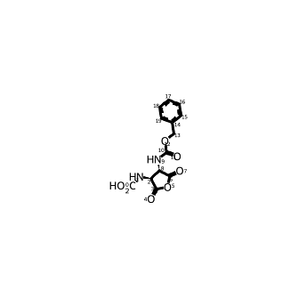 O=C(O)N[C@@H]1C(=O)OC(=O)[C@H]1NC(=O)OCc1ccccc1